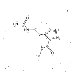 COC(=O)c1nn[c]n1CCNC(N)=O